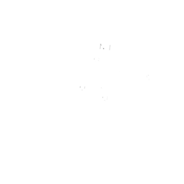 NOC(C(=O)OC(c1ccccc1)c1ccccc1)c1ccsc1